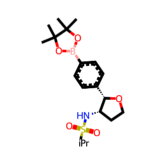 CC(C)S(=O)(=O)N[C@H]1CCO[C@H]1c1ccc(B2OC(C)(C)C(C)(C)O2)cc1